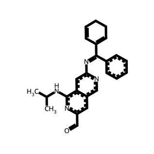 CC(C)Nc1nc(C=O)cc2cnc(/N=C(/C3=CCCC=C3)c3ccccc3)cc12